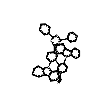 N#Cc1ccc(-n2c3ccccc3c3ccccc32)c(-c2cc(-c3nc(-c4ccccc4)nc(-c4ccccc4)n3)ccc2-n2c3ccccc3c3ccccc32)c1